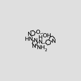 Nc1ncc(Nc2cc(OCCO)ccn2)nc1NCc1ccc2ncccc2c1